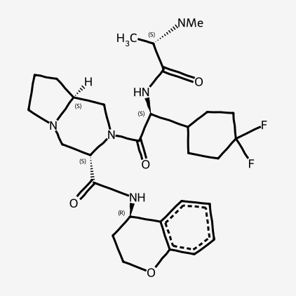 CN[C@@H](C)C(=O)N[C@H](C(=O)N1C[C@@H]2CCCN2C[C@H]1C(=O)N[C@@H]1CCOc2ccccc21)C1CCC(F)(F)CC1